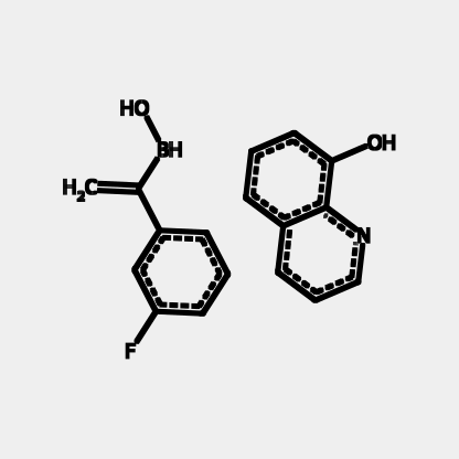 C=C(BO)c1cccc(F)c1.Oc1cccc2cccnc12